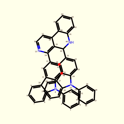 c1ccc(-n2c3ccccc3c3cc(-c4nccc5c4C(c4ccc6c(c4)c4ccccc4n6-c4ccccc4)Nc4ccccc4-5)ccc32)cc1